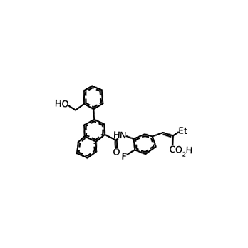 CCC(=Cc1ccc(F)c(NC(=O)c2cc(-c3ccccc3CO)cc3ccccc23)c1)C(=O)O